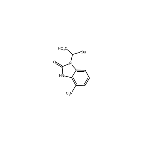 CC(C)(C)C(C(=O)O)n1c(=O)[nH]c2c([N+](=O)[O-])cccc21